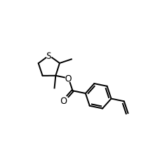 C=Cc1ccc(C(=O)OC2(C)CCSC2C)cc1